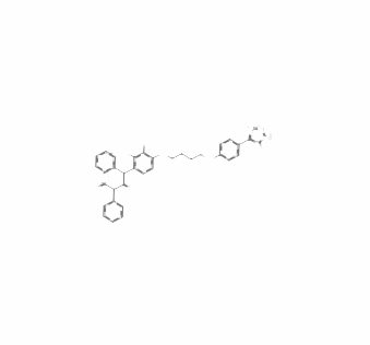 Cc1c(OCCCCOc2ccc(-c3nn[nH]n3)cc2)ccc(C(C(=O)C(C(=O)Cl)c2ccccc2)c2ccccc2)c1O